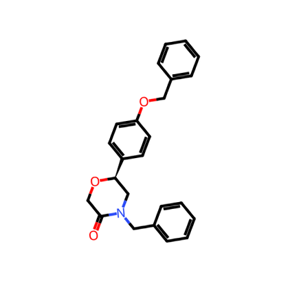 O=C1CO[C@@H](c2ccc(OCc3ccccc3)cc2)CN1Cc1ccccc1